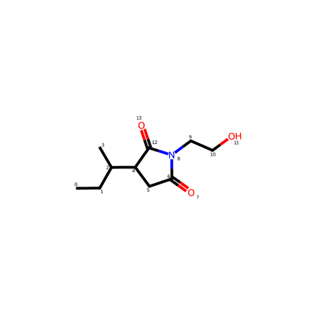 CCC(C)C1CC(=O)N(CCO)C1=O